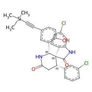 C[Si](C)(C)C#Cc1ccc(O)c([C@H]2NC(=O)C[C@@H](c3cccc(Cl)c3)[C@]23C(=O)Nc2cc(Cl)ccc23)c1